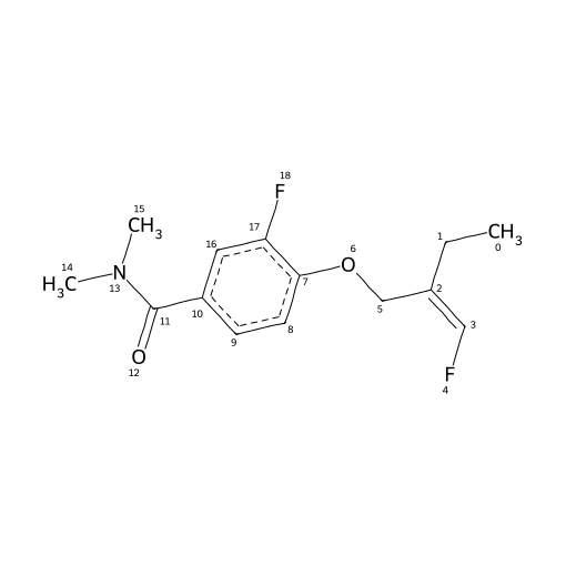 CC/C(=C/F)COc1ccc(C(=O)N(C)C)cc1F